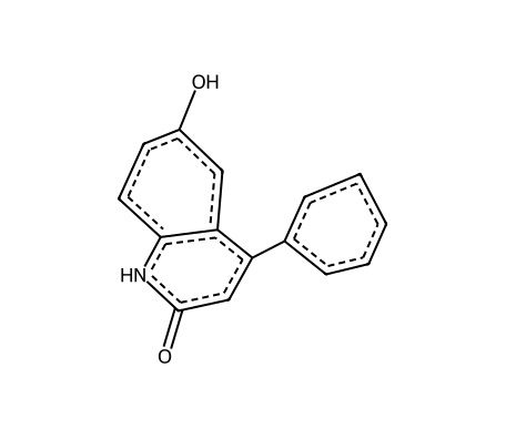 O=c1cc(-c2ccccc2)c2cc(O)ccc2[nH]1